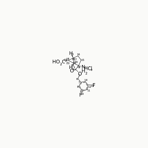 Cl.N[C@@]1(C(=O)OCc2cc(F)cc(F)c2)CC[C@H]2[C@H](C(=O)O)[C@H]21